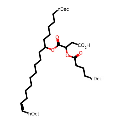 CCCCCCCC/C=C\CCCCCCCCC(CCCCCCCCCCCCCCC)OC(=O)C(CC(=O)O)OC(=O)CCCCCCCCCCCCC